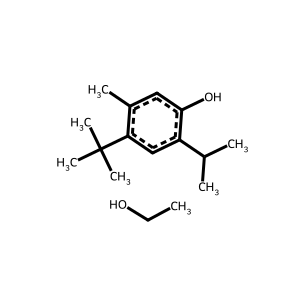 CCO.Cc1cc(O)c(C(C)C)cc1C(C)(C)C